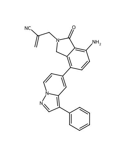 C=C(C#N)CN1Cc2c(-c3ccn4ncc(-c5ccccc5)c4c3)ccc(N)c2C1=O